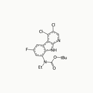 CCN(C(=O)OC(C)(C)C)c1cc(F)cc2c1[nH]c1ncc(Cl)c(Cl)c12